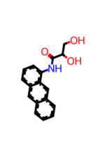 O=C(Nc1cccc2cc3ccccc3cc12)C(O)CO